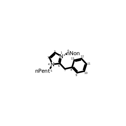 CCCCCCCCC[n+]1ccn(CCCCC)c1Cc1ccccc1